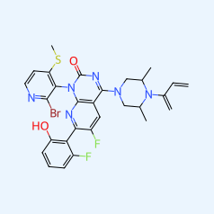 C=CC(=C)N1C(C)CN(c2nc(=O)n(-c3c(SC)ccnc3Br)c3nc(-c4c(O)cccc4F)c(F)cc23)CC1C